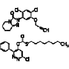 C#CCOc1cc(-n2nc3n(c2=O)CCCC3)c(Cl)cc1Cl.CCCCCCCCSC(=O)Oc1cc(Cl)nnc1-c1ccccc1